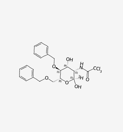 [2H][C@]1(O)O[C@H](COCc2ccccc2)[C@@H](OCc2ccccc2)[C@H](O)[C@@H]1NC(=O)C(Cl)(Cl)Cl